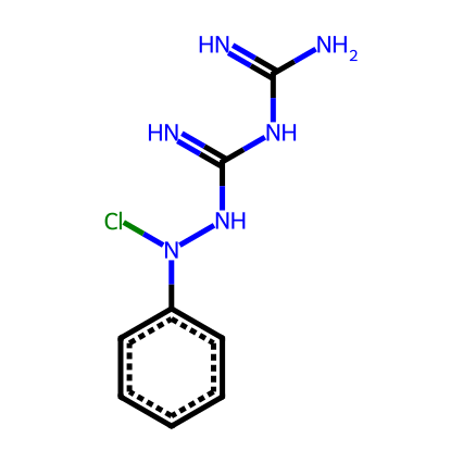 N=C(N)NC(=N)NN(Cl)c1ccccc1